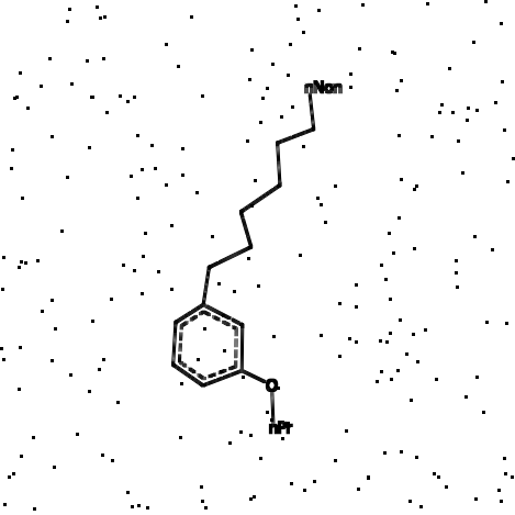 [CH2]CCOc1cccc(CCCCCCCCCCCCCCC)c1